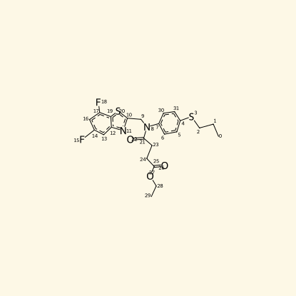 CCCSc1ccc(N(Cc2nc3cc(F)cc(F)c3s2)C(=O)CCC(=O)OCC)cc1